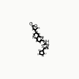 O=C1C=C(c2cnc3ccc(Nc4nnc(C5CCCC5)s4)nc3c2)CO1